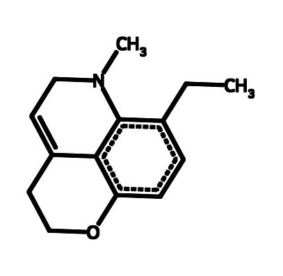 CCc1ccc2c3c1N(C)CC=C3CCO2